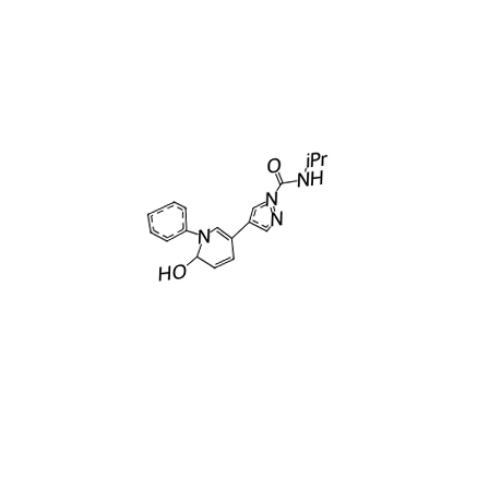 CC(C)NC(=O)n1cc(C2=CN(c3ccccc3)C(O)C=C2)cn1